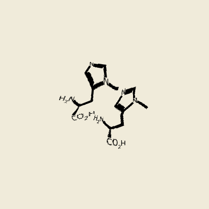 Cn1cncc1C[C@H](N)C(=O)O.Cn1cncc1C[C@H](N)C(=O)O